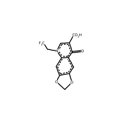 O=C(O)c1cn(CC(F)(F)F)c2cc3c(cc2c1=O)OCO3